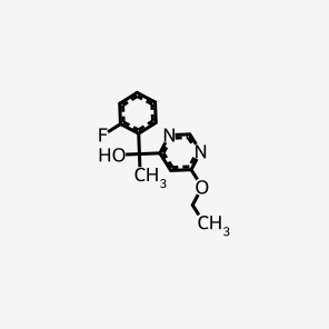 CCOc1cc(C(C)(O)c2ccccc2F)ncn1